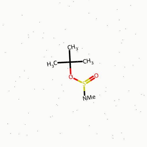 CNS(=O)OC(C)(C)C